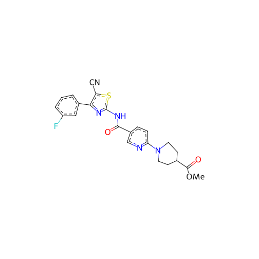 COC(=O)C1CCN(c2ccc(C(=O)Nc3nc(-c4cccc(F)c4)c(C#N)s3)cn2)CC1